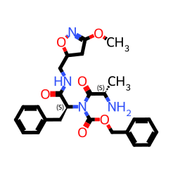 COC1=NOC(CNC(=O)[C@H](Cc2ccccc2)N(C(=O)OCc2ccccc2)C(=O)[C@H](C)N)C1